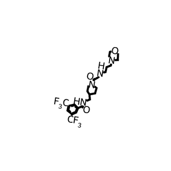 O=C(NCC1CCN(C(=O)CNCCCN2CCOCC2)CC1)c1cc(C(F)(F)F)cc(C(F)(F)F)c1